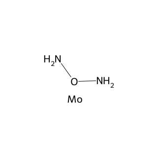 NON.[Mo]